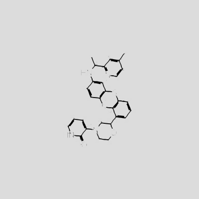 Cc1ccnc(C(C)Nc2ccc3c(c2)Sc2cccc(C4CN(c5ccc[nH]c5=O)CCO4)c2S3)c1